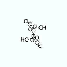 C#CCOC(C(=O)OCCOC(=O)C(OCC#C)c1ccc(Cl)cc1)c1ccc(Cl)cc1